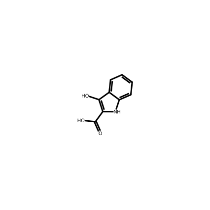 O=C(O)c1[nH]c2ccccc2c1O